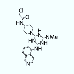 CNC1NC(Nc2cccc3cnccc23)NC(N2CCC(NC(=O)CCl)CC2)N1